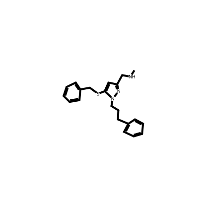 CNCc1cc(SCc2ccccc2)n(CCCc2ccccc2)n1